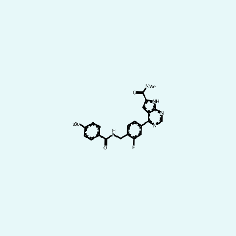 CNC(=O)c1cc2c(-c3ccc(CNC(=O)c4ccc(C(C)(C)C)cc4)c(F)c3)ncnc2[nH]1